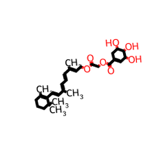 CC(C=CC1=C(C)CCCC1(C)C)=CC=CC(C)=CCOC(=O)COC(=O)C1=CC(O)C(O)C(O)C1